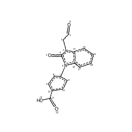 O=CCn1c(=O)n(-c2ccc(C(=O)O)cc2)c2ccccc21